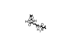 CC(C)[C@H](N)C(=O)NCCCC[C@H](NC(=O)OC(C)(C)C)C(=O)O